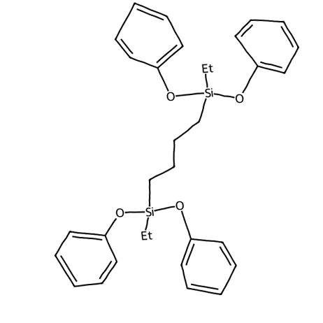 CC[Si](CCCC[Si](CC)(Oc1ccccc1)Oc1ccccc1)(Oc1ccccc1)Oc1ccccc1